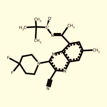 CC(=N[S@+]([O-])C(C)(C)C)c1cc(C)cc2nc(C#N)c(N3CCC(F)(F)CC3)nc12